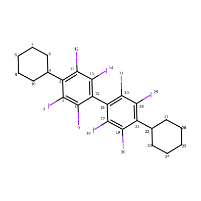 Ic1c(I)c(C2CCCCC2)c(I)c(I)c1-c1c(I)c(I)c(C2CCCCC2)c(I)c1I